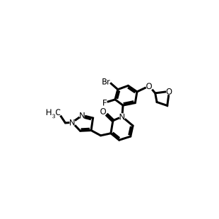 CCn1cc(Cc2cccn(-c3cc(OC4CCO4)cc(Br)c3F)c2=O)cn1